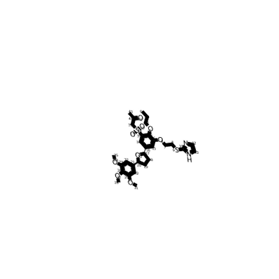 CCCOc1c(OCCSc2ncc[nH]2)cc([C@@H]2CC[C@@H](c3cc(OC)c(OC)c(OC)c3)O2)cc1S(=O)(=O)CC(C)=O